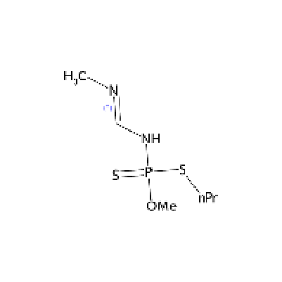 CCCSP(=S)(N/C=N/C)OC